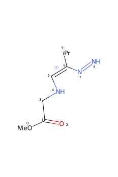 COC(=O)CN/C=C(\N=N)C(C)C